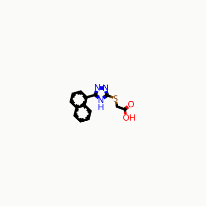 O=C(O)CSc1nnc(-c2cccc3ccccc23)[nH]1